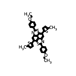 CCOc1ccc(C2=Nc3cc(-c4ccc(C)s4)c4c5c(cc(-c6ccc(C)s6)c(c35)S2)N=C(c2ccc(OCC)cc2)S4)cc1